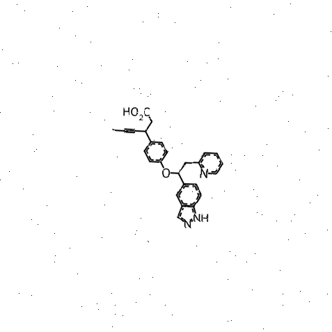 CC#CC(CC(=O)O)c1ccc(O[C@@H](Cc2ccccn2)c2ccc3[nH]ncc3c2)cc1